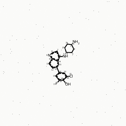 N[C@H]1CC[C@H](Nc2[c]cnc3ccc(-c4cc(F)c(O)c(Cl)c4)cc23)CC1